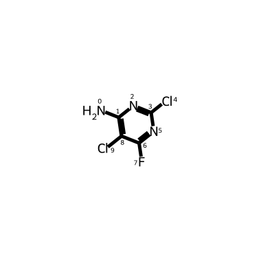 Nc1nc(Cl)nc(F)c1Cl